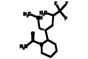 CNC[C@H](CC(C)C(F)(F)F)C1CCCCN1C(N)=O